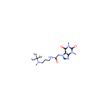 [2H]C([2H])([2H])N(C)CCCNC(=O)Cn1cnc2c1c(=O)n(C)c(=O)n2C